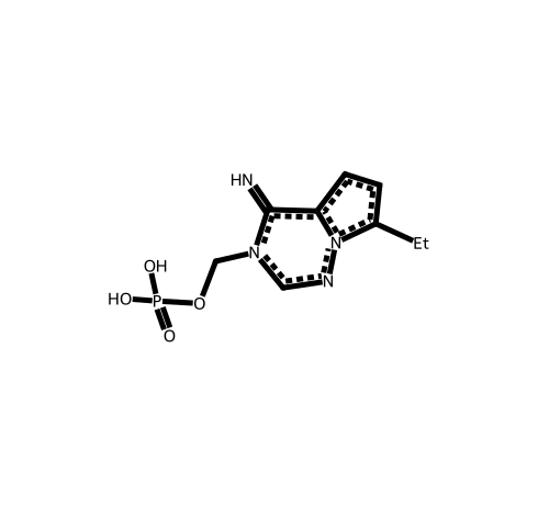 CCc1ccc2c(=N)n(COP(=O)(O)O)cnn12